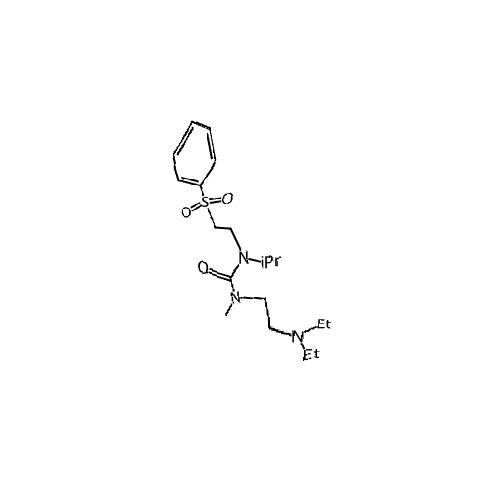 CCN(CC)CCN(C)C(=O)N(CCS(=O)(=O)c1ccccc1)C(C)C